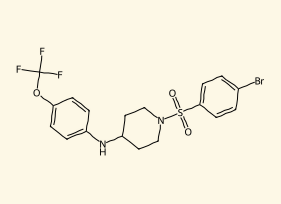 O=S(=O)(c1ccc(Br)cc1)N1CCC(Nc2ccc(OC(F)(F)F)cc2)CC1